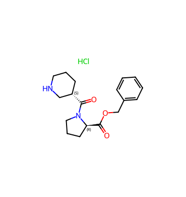 Cl.O=C(OCc1ccccc1)[C@H]1CCCN1C(=O)[C@H]1CCCNC1